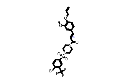 C=CCOc1ccc(/C=C/C(=O)N2CCN(S(=O)(=O)c3ccc(Br)c(C(F)(F)F)c3)CC2)cc1OC